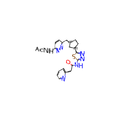 CC(=O)Nc1ccc(C[C@H]2CC[C@@H](c3nnc(NC(=O)Cc4ccccn4)s3)C2)nn1